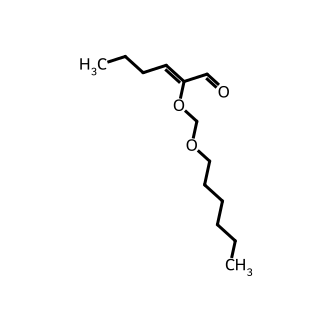 CCCC=C(C=O)OCOCCCCCC